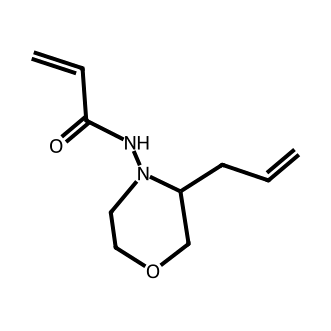 C=CCC1COCCN1NC(=O)C=C